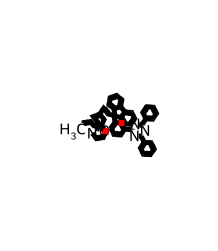 C/C=C\c1ncccc1CC1=C\C=C\Oc2ccc(-c3nc(-c4ccccc4)nc(-c4ccccc4)n3)cc2C2(\C=C\1)c1ccccc1-c1ccccc12